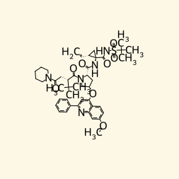 C=C[C@@H]1C[C@]1(NC(=O)[C@@H]1C[C@@H](Oc2cc(-c3ccccc3)nc3cc(OC)ccc23)CN1C(=O)[C@@H](CC(=O)N1CCCCC1)C(C)(C)C)C(=O)NS(=O)(=O)C(C)(C)C